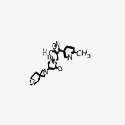 Cc1ccc(-c2noc(C)c2Cn2ncc(N3CC4(CCOCC4)C3)cc2=O)cn1